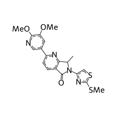 COc1cc(-c2ccc3c(n2)C(C)N(c2csc(SC)n2)C3=O)cnc1OC